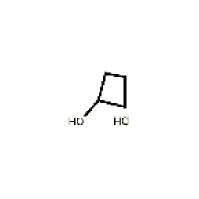 Cl.OC1CCC1